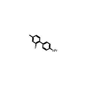 CCCc1ccc(-c2ccc(C)cc2F)cc1